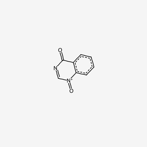 O=C1N=C[N+](=O)c2ccccc21